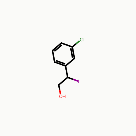 OCC(I)c1cccc(Cl)c1